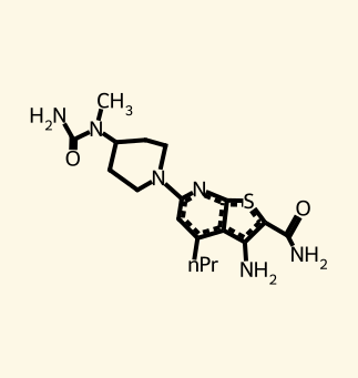 CCCc1cc(N2CCC(N(C)C(N)=O)CC2)nc2sc(C(N)=O)c(N)c12